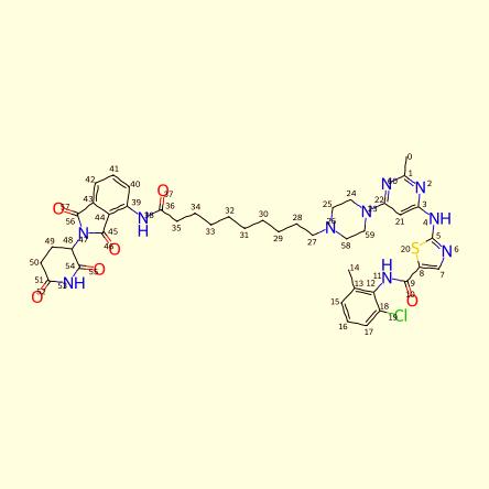 Cc1nc(Nc2ncc(C(=O)Nc3c(C)cccc3Cl)s2)cc(N2CCN(CCCCCCCCCC(=O)Nc3cccc4c3C(=O)N(C3CCC(=O)NC3=O)C4=O)CC2)n1